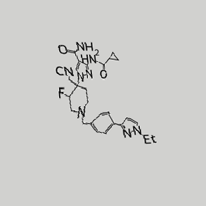 CCn1ccc(-c2ccc(CN3CCC(CC#N)(n4cc(C(N)=O)c(NC(=O)C5CC5)n4)C(F)C3)cc2)n1